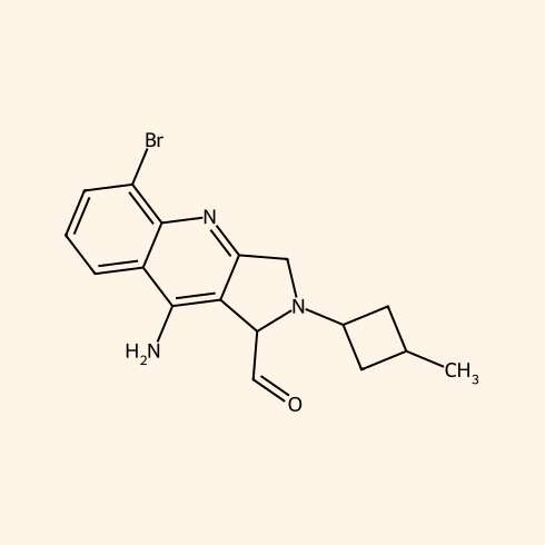 CC1CC(N2Cc3nc4c(Br)cccc4c(N)c3C2C=O)C1